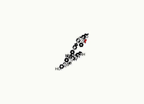 COc1nc(CN2CCN(C3CC4(CCN(c5ccc(C(=O)NS(=O)(=O)c6ccc(NC[C@H]7CC[C@](C)(O)CC7)c([N+](=O)[O-])c6)c(N6c7cc8cc[nH]c8nc7O[C@H]7COCC[C@@H]76)c5)CC4)C3)[C@@H](c3ccccc3OC(C)C)C2)cc2cc(C)oc12